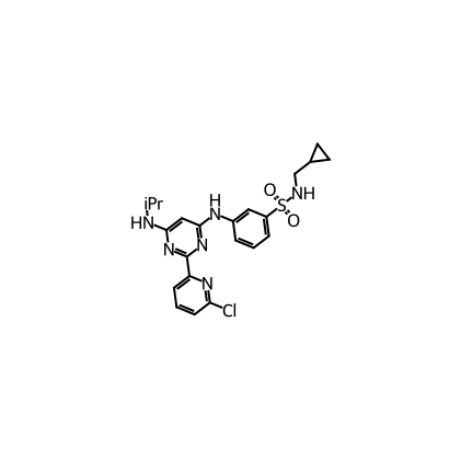 CC(C)Nc1cc(Nc2cccc(S(=O)(=O)NCC3CC3)c2)nc(-c2cccc(Cl)n2)n1